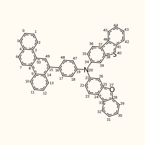 c1ccc2c(c1)ccc1c3ccccc3c(-c3ccc(N(c4ccc5c(c4)oc4ccccc45)c4ccc5c(c4)sc4ccccc45)cc3)cc21